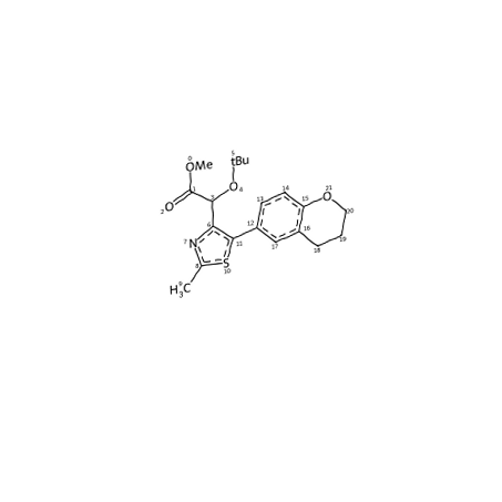 COC(=O)C(OC(C)(C)C)c1nc(C)sc1-c1ccc2c(c1)CCCO2